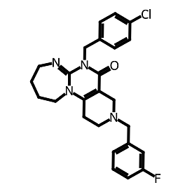 O=C1C2=C(CCN(Cc3cccc(F)c3)C2)N2CCCCN=C2N1Cc1ccc(Cl)cc1